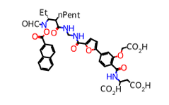 CCCCCC(C(=O)NCNC(=O)c1ccc(-c2ccc(C(=O)NC(CC(=O)O)C(=O)O)c(OCC(=O)O)c2)o1)[C@@H](CC)N(C=O)OC(=O)c1ccc2ccccc2c1